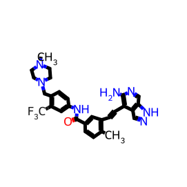 Cc1ccc(C(=O)Nc2ccc(CN3CCN(C)CC3)c(C(F)(F)F)c2)cc1C#Cc1c(N)ncc2[nH]ncc12